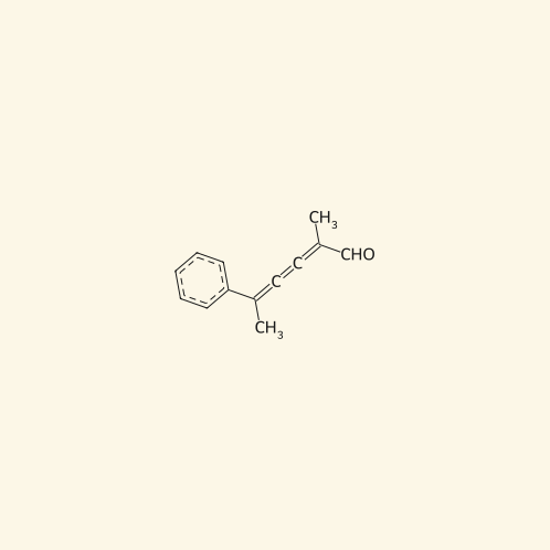 CC(=C=C=C(C)c1ccccc1)C=O